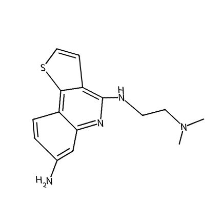 CN(C)CCNc1nc2cc(N)ccc2c2sccc12